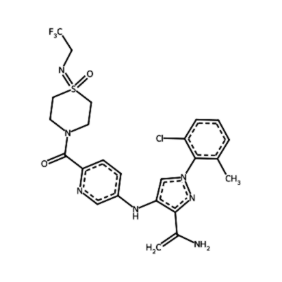 C=C(N)c1nn(-c2c(C)cccc2Cl)cc1Nc1ccc(C(=O)N2CCS(=O)(=NCC(F)(F)F)CC2)nc1